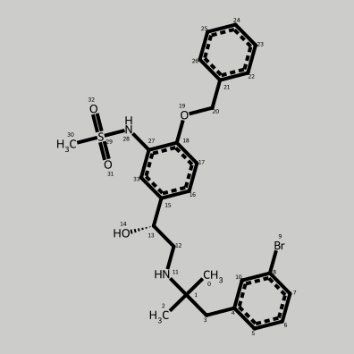 CC(C)(Cc1cccc(Br)c1)NC[C@H](O)c1ccc(OCc2ccccc2)c(NS(C)(=O)=O)c1